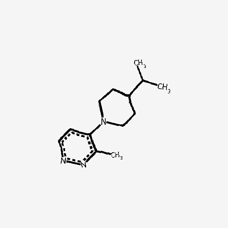 Cc1nnccc1N1CCC(C(C)C)CC1